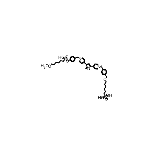 COCCCCCCP(=O)(O)Oc1ccc(C[n+]2ccc(-c3cc(-c4cc[n+](Cc5ccc(COCCCCCCP(=O)(O)O)cc5)cc4)no3)cc2)cc1